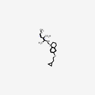 C=N/C=C\C(C(=O)O)=C(/C)NC[C@H]1CCCc2cc(OCCC3CC3)ccc21